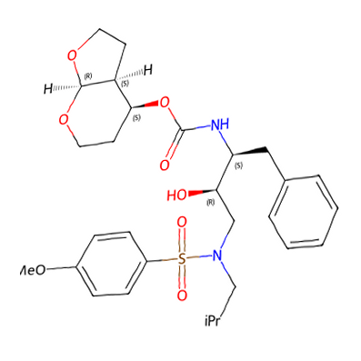 COc1ccc(S(=O)(=O)N(CC(C)C)C[C@@H](O)[C@H](Cc2ccccc2)NC(=O)O[C@H]2CCO[C@H]3OCC[C@H]32)cc1